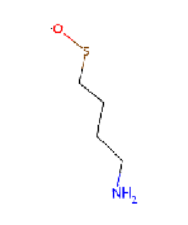 NCCCCS[O]